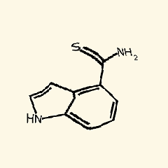 NC(=S)c1cccc2[nH]ccc12